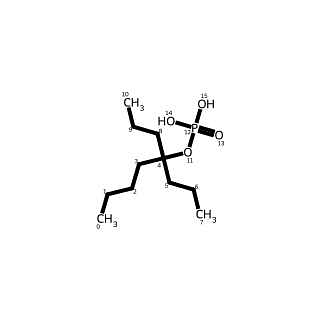 CCCCC(CCC)(CCC)OP(=O)(O)O